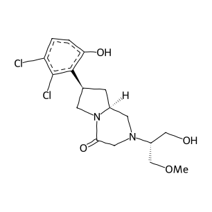 COC[C@@H](CO)N1CC(=O)N2C[C@@H](c3c(O)ccc(Cl)c3Cl)C[C@H]2C1